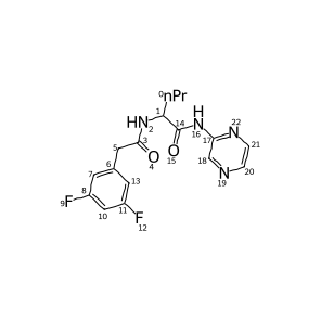 CCCC(NC(=O)Cc1cc(F)cc(F)c1)C(=O)Nc1cnccn1